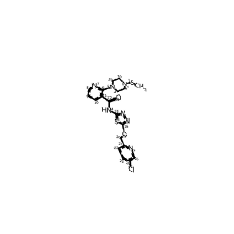 CSN1CCN(c2ncccc2C(=O)Nc2nnc(OCc3ccc(Cl)cn3)s2)CC1